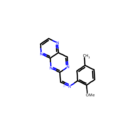 COc1ccc(C)cc1/N=C\c1ncc2nccnc2n1